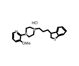 COc1cccnc1N1CCN(CCCC2CSc3ccccc32)CC1.Cl